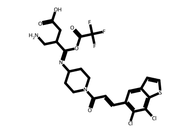 NCC(CC(=O)O)C(=NC1CCN(C(=O)C=Cc2cc3ccsc3c(Cl)c2Cl)CC1)OC(=O)C(F)(F)F